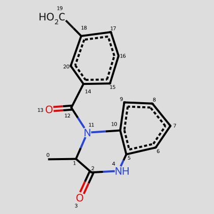 CC1C(=O)Nc2ccccc2N1C(=O)c1cccc(C(=O)O)c1